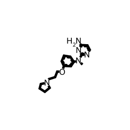 CN(c1cccc(OCCCN2CCCC2)c1)c1nccc(N)n1